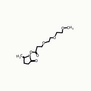 C=C1CCC(=O)N1OC(=O)CCOCCOCCOC